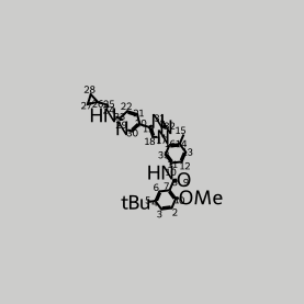 COc1ccc(C(C)(C)C)cc1C(=O)Nc1ccc(C)c(-n2cc(-c3ccc(NCC4CC4)nc3)nn2)c1